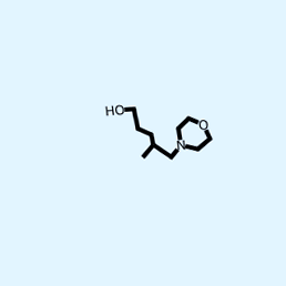 CC(CCCO)CN1CCOCC1